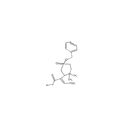 CC(C)OC(=O)/C(=C/C(=O)[O-])C1CP(=O)(OCc2ccccc2)CC[N+]1(C)C